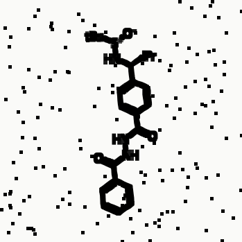 CC(C)[C@H](N[S+]([O-])C(C)(C)C)c1ccc(C(=O)NNC(=O)c2ccccc2)cc1